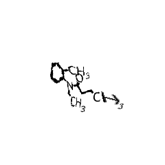 CCCC(=O)N(CC)c1ccccc1C